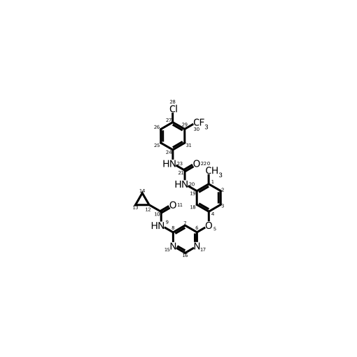 Cc1ccc(Oc2cc(NC(=O)C3CC3)ncn2)cc1NC(=O)Nc1ccc(Cl)c(C(F)(F)F)c1